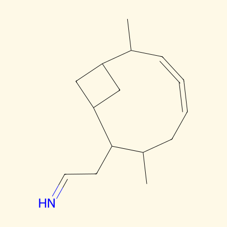 CC1C=C=CCC(C)C(CC=N)C2CC1C2